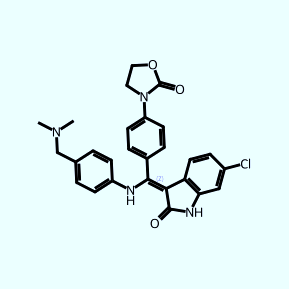 CN(C)Cc1ccc(N/C(=C2\C(=O)Nc3cc(Cl)ccc32)c2ccc(N3CCOC3=O)cc2)cc1